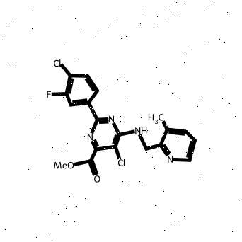 COC(=O)c1nc(-c2ccc(Cl)c(F)c2)nc(NCc2ncccc2C)c1Cl